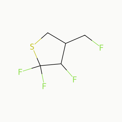 FCC1CSC(F)(F)C1F